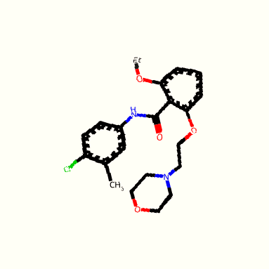 CCOc1cccc(OCCN2CCOCC2)c1C(=O)Nc1ccc(Cl)c(C)c1